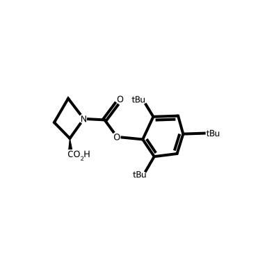 CC(C)(C)c1cc(C(C)(C)C)c(OC(=O)N2CC[C@@H]2C(=O)O)c(C(C)(C)C)c1